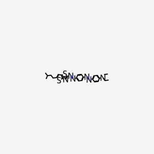 CCN(CC)c1ccc(/N=N/c2ccc(/N=N/c3nc4sc(CCC(C)C)cc4s3)cc2)cc1